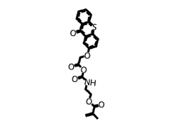 C=C(C)C(=O)OCCNC(=O)OC(=O)COc1ccc2sc3ccccc3c(=O)c2c1